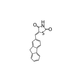 O=C1NC(=O)C(=Cc2ccc3c(c2)Cc2ccccc2-3)S1